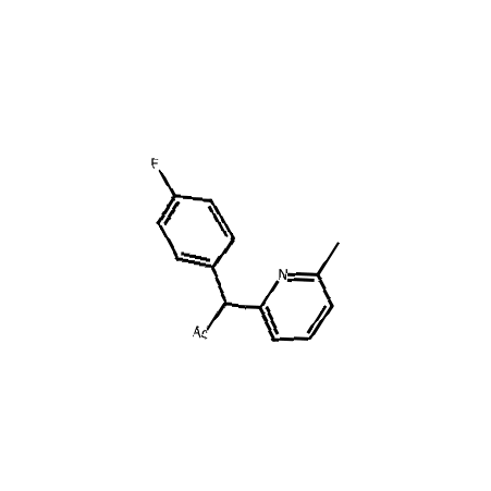 CC(=O)C(c1ccc(F)cc1)c1cccc(C)n1